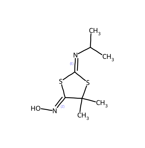 CC(C)/N=C1/S/C(=N\O)C(C)(C)S1